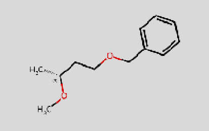 CO[C@H](C)CCOCc1ccccc1